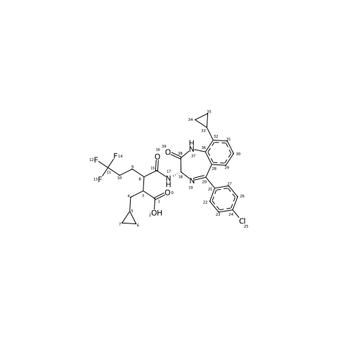 O=C(O)C(CC1CC1)C(CCC(F)(F)F)C(=O)N[C@H]1N=C(c2ccc(Cl)cc2)c2cccc(C3CC3)c2NC1=O